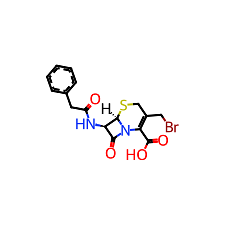 O=C(Cc1ccccc1)N[C@@H]1C(=O)N2C(C(=O)O)=C(CBr)CS[C@H]12